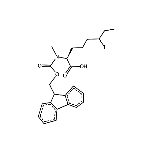 CCC(I)CCC[C@@H](C(=O)O)N(C)C(=O)OCC1c2ccccc2-c2ccccc21